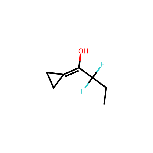 CCC(F)(F)C(O)=C1CC1